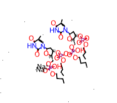 CCCCOP(=O)([O-])O[C@H]1CC(n2cc(C)c(=O)[nH]c2=O)O[C@@H]1COP(=O)(O)OCCCC.CCCCOP(=O)([O-])O[C@H]1CC(n2cc(C)c(=O)[nH]c2=O)O[C@@H]1COP(=O)(O)OCCCC.[Na+].[Na+]